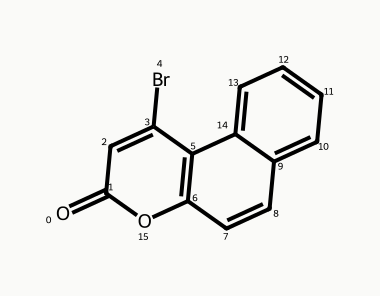 O=c1cc(Br)c2c(ccc3ccccc32)o1